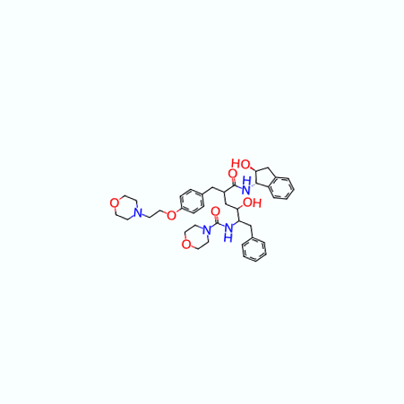 O=C(N[C@H]1c2ccccc2C[C@@H]1O)C(Cc1ccc(OCCN2CCOCC2)cc1)CC(O)C(Cc1ccccc1)NC(=O)N1CCOCC1